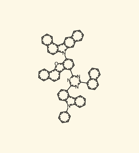 c1ccc(-n2c3ccccc3c3c(-c4nc(-c5cccc6ccccc56)nc(-c5ccc(-n6c7cc8ccccc8cc7c7c8ccccc8ccc76)c6oc7c8ccccc8ccc7c56)n4)cccc32)cc1